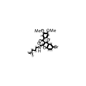 COc1ccc(C(=O)c2c(C(=O)NCCCN(C)C)oc3ccc(Br)cc3c2=O)cc1OC